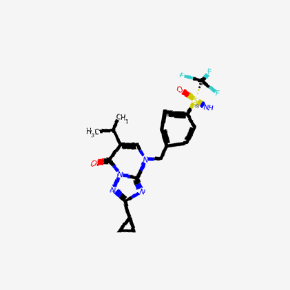 CC(C)c1cn(Cc2ccc([S@](=N)(=O)C(F)(F)F)cc2)c2nc(C3CC3)nn2c1=O